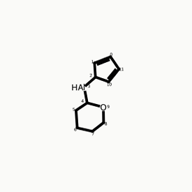 C1=C[CH]([AlH][CH]2CCCCO2)C=C1